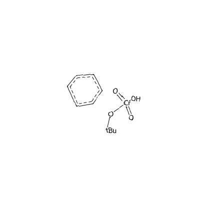 CC(C)(C)[O][Cr](=[O])(=[O])[OH].c1ccccc1